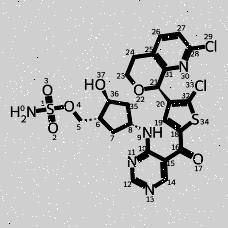 NS(=O)(=O)OC[C@H]1C[C@@H](Nc2ncncc2C(=O)c2cc([C@H]3OCCc4ccc(Cl)nc43)c(Cl)s2)C[C@@H]1O